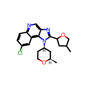 CC1COC(c2nc3cnc4ccc(Cl)cc4c3n2[C@@H]2CCO[C@H](C)C2)C1